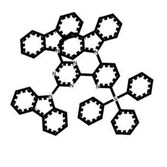 c1ccc([Si](c2ccccc2)(c2ccccc2)c2ccc(-n3c4ccccc4c4ccccc43)c(-c3nc(-n4c5ccccc5c5ccccc54)nc(-n4c5ccccc5c5ccccc54)n3)n2)cc1